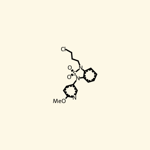 COc1ccc(N2c3ccccc3N(CCCCl)S2(=O)=O)cn1